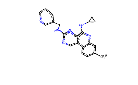 O=C(O)c1ccc2c(c1)nc(NC1CC1)c1nc(NCc3cccnc3)ncc12